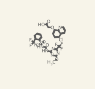 COc1nc(NC(=O)NS(=O)(=O)c2ccccc2C(F)(F)F)nc(C(F)(F)F)n1.O=C(O)COc1ccc(Cl)c2cccnc12